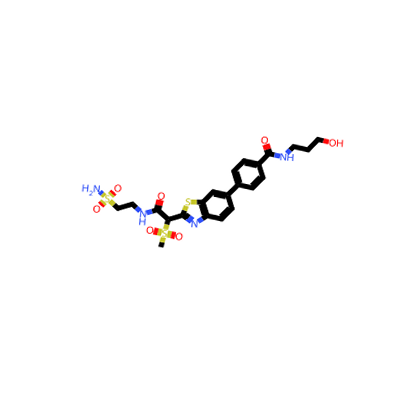 CS(=O)(=O)C(C(=O)NCCS(N)(=O)=O)c1nc2ccc(-c3ccc(C(=O)NCCCO)cc3)cc2s1